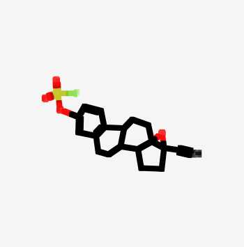 C#CC12CCC3C4CCc5cc(OS(=O)(=O)F)ccc5C4CCC31O2